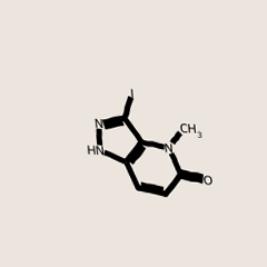 Cn1c(=O)ccc2[nH]nc(I)c21